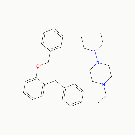 CCN1CCN(N(CC)CC)CC1.c1ccc(COc2ccccc2Cc2ccccc2)cc1